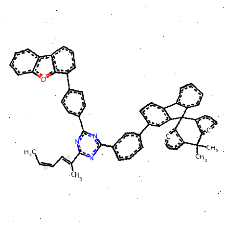 C/C=C\C=C(/C)c1nc(-c2ccc(-c3cccc4c3oc3ccccc34)cc2)nc(-c2cccc(-c3ccc4c(c3)C3(c5ccccc5-4)c4ccccc4C(C)(C)c4ccccc43)c2)n1